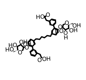 O=C(O)Cc1cccc(-c2cc(CCCCCCc3ccc(O[C@]4(O)CO[C@H](CO)[C@@H](O)[C@@H]4O)c(-c4cccc(CC(=O)O)c4)c3)ccc2O[C@]2(O)CO[C@H](CO)[C@@H](O)[C@@H]2O)c1